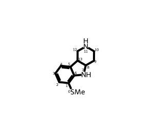 CSc1cccc2c1NC1CCNCC21